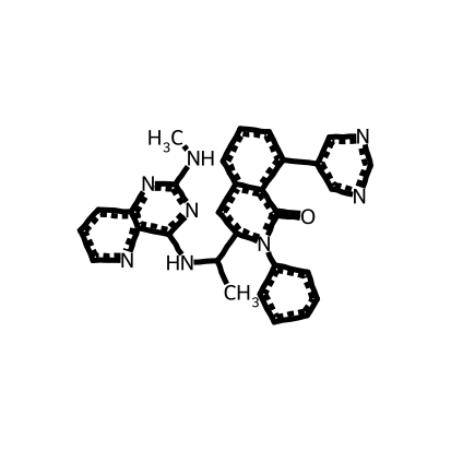 CNc1nc(NC(C)c2cc3cccc(-c4cncnc4)c3c(=O)n2-c2ccccc2)c2ncccc2n1